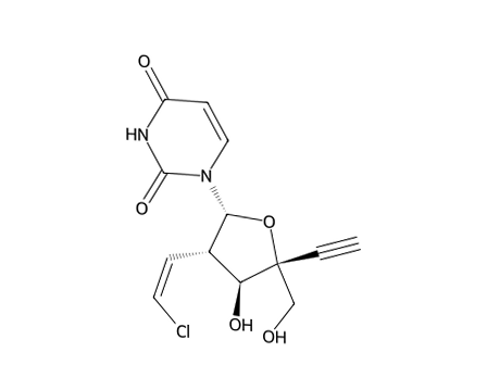 C#C[C@]1(CO)O[C@@H](n2ccc(=O)[nH]c2=O)[C@@H](/C=C\Cl)[C@@H]1O